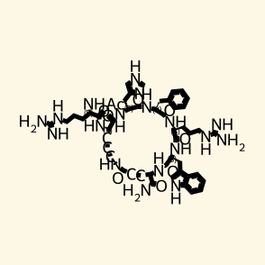 CC(=O)N[C@H](CCCNC(=N)N)C(=O)N[C@H]1CCCNC(=O)CCC(C(N)=O)NC(=O)[C@H](Cc2c[nH]c3ccccc23)NC(=O)[C@H](CCCNC(=N)N)NC(=O)[C@@H](Cc2ccccc2)NC(=O)[C@H](Cc2c[nH]cn2)NC1=O